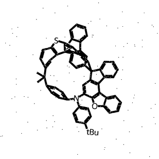 CC(C)(C)c1ccc(N2c3ccc(cc3)C(C)(C)c3ccc4sc5cc(ccc5c4c3)C3(c4ccc5sc6ccccc6c5c4)c4ccccc4-c4c3cc2c2oc3ccccc3c42)cc1